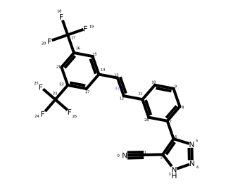 N#Cc1[nH]nnc1-c1cccc(/C=C/c2cc(C(F)(F)F)cc(C(F)(F)F)c2)c1